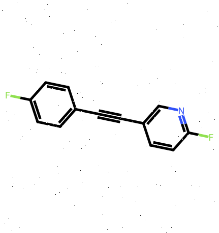 Fc1ccc(C#Cc2ccc(F)nc2)cc1